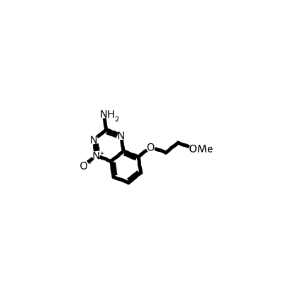 COCCOc1cccc2c1nc(N)n[n+]2[O-]